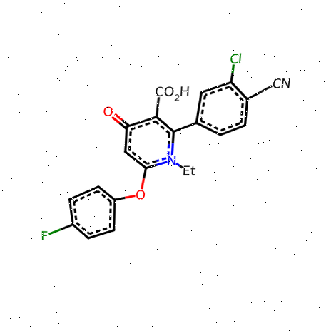 CCn1c(Oc2ccc(F)cc2)cc(=O)c(C(=O)O)c1-c1ccc(C#N)c(Cl)c1